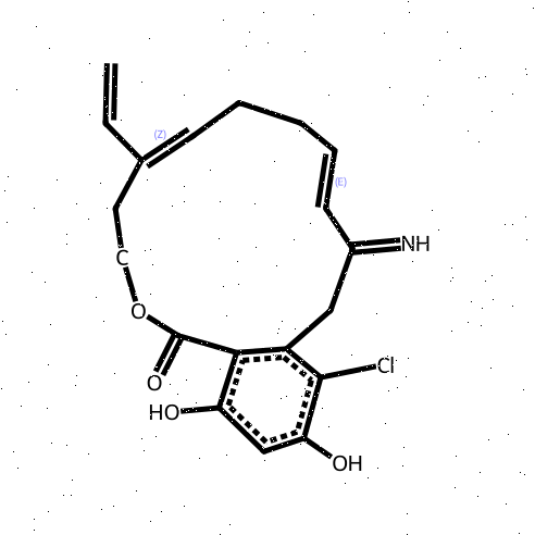 C=C/C1=C\CC/C=C/C(=N)Cc2c(Cl)c(O)cc(O)c2C(=O)OCC1